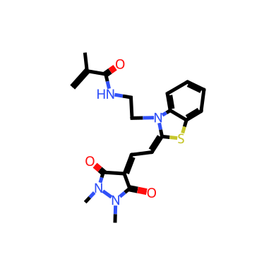 C=C(C)C(=O)NCCN1C(=CC=C2C(=O)N(C)N(C)C2=O)Sc2ccccc21